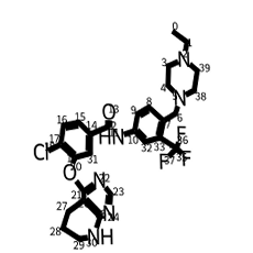 CCN1CCN(Cc2ccc(NC(=O)c3ccc(Cl)c(Oc4ncnc5c4CCCN5)c3)cc2C(F)(F)F)CC1